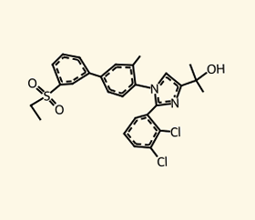 CCS(=O)(=O)c1cccc(-c2ccc(-n3cc(C(C)(C)O)nc3-c3cccc(Cl)c3Cl)c(C)c2)c1